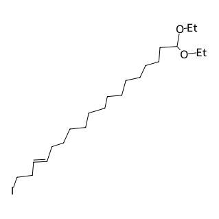 CCOC(CCCCCCCCCCCCC/C=C/CCI)OCC